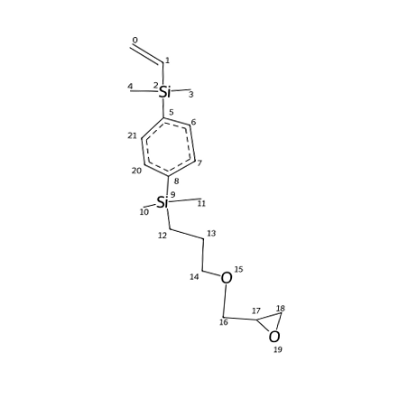 C=C[Si](C)(C)c1ccc([Si](C)(C)CCCOCC2CO2)cc1